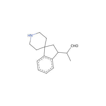 CC(C=O)C1CC2(CCNCC2)c2ccccc21